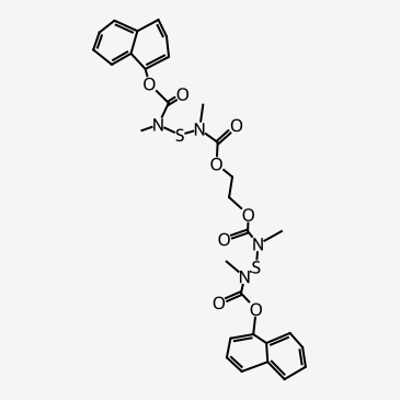 CN(SN(C)C(=O)Oc1cccc2ccccc12)C(=O)OCCOC(=O)N(C)SN(C)C(=O)Oc1cccc2ccccc12